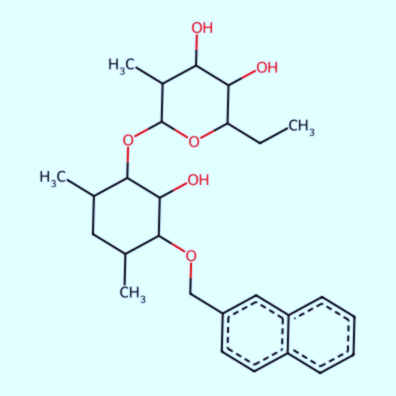 CCC1OC(OC2C(C)CC(C)C(OCc3ccc4ccccc4c3)C2O)C(C)C(O)C1O